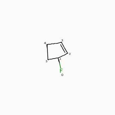 FC1C=CCC1